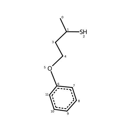 CC(S)CCOc1ccccc1